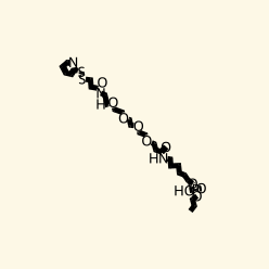 CCCOP(=O)(O)OCCCCCCNC(=O)CCOCCOCCOCCOCCNC(=O)CCSSc1ccccn1